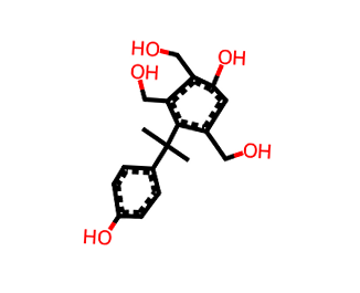 CC(C)(c1ccc(O)cc1)c1c(CO)cc(O)c(CO)c1CO